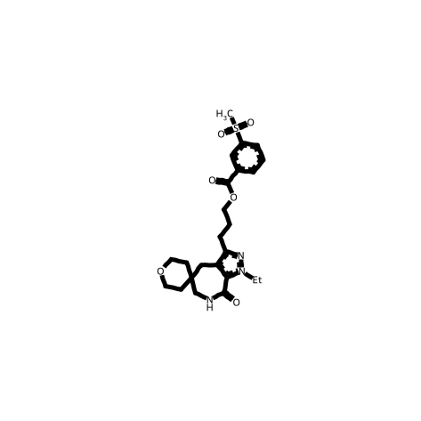 CCn1nc(CCCOC(=O)c2cccc(S(C)(=O)=O)c2)c2c1C(=O)NCC1(CCOCC1)C2